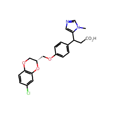 Cn1cncc1C(CC(=O)O)c1ccc(OC[C@H]2COc3ccc(Cl)cc3O2)cc1